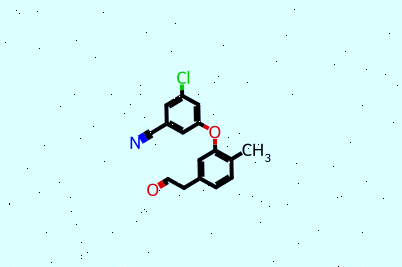 Cc1ccc(CC=O)cc1Oc1cc(Cl)cc(C#N)c1